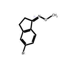 CO/N=C1/CCc2cc(Br)ccc21